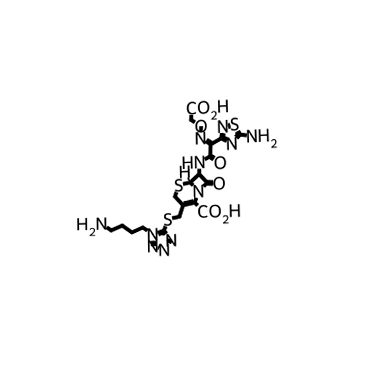 NCCCCn1nnnc1SCC1=C(C(=O)O)N2C(=O)C(NC(=O)C(=NOCC(=O)O)c3nsc(N)n3)[C@@H]2SC1